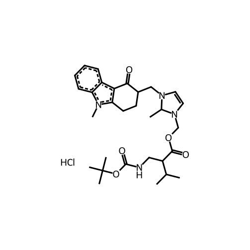 CC(C)C(CNC(=O)OC(C)(C)C)C(=O)OCN1C=CN(CC2CCc3c(c4ccccc4n3C)C2=O)C1C.Cl